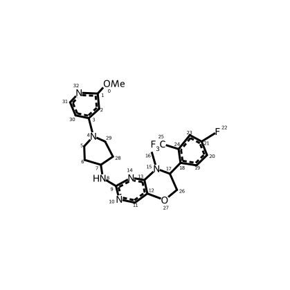 COc1cc(N2CCC(Nc3ncc4c(n3)N(C)C(c3ccc(F)cc3C(F)(F)F)CO4)CC2)ccn1